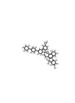 COc1ccc(C2(c3ccc(-c4ccc(-c5ccccc5)cc4)cc3)C=Cc3c4c(c5ccccc5c3O2)-c2ccc(C)cc2C4(C)C)cc1